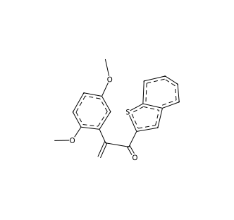 C=C(C(=O)c1cc2ccccc2s1)c1cc(OC)ccc1OC